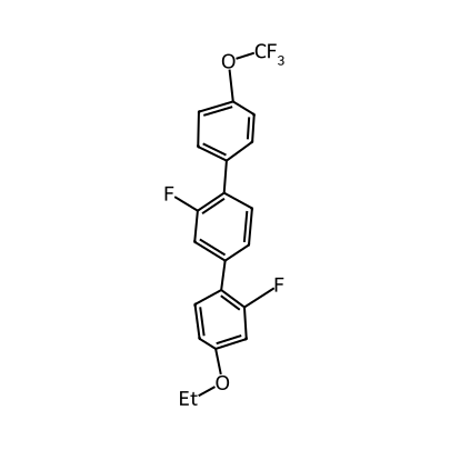 CCOc1ccc(-c2ccc(-c3ccc(OC(F)(F)F)cc3)c(F)c2)c(F)c1